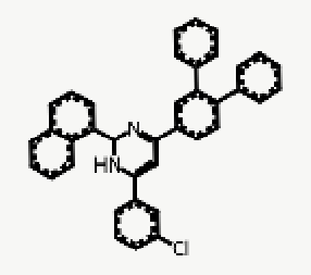 Clc1cccc(C2=CC(c3ccc(-c4ccccc4)c(-c4ccccc4)c3)=NC(c3cccc4ccccc34)N2)c1